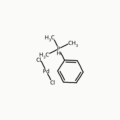 C[PH](C)(C)c1ccccc1.[Cl][Pd][Cl]